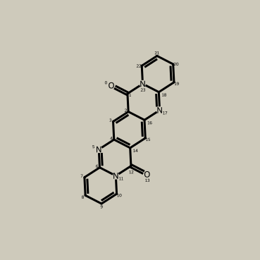 O=c1c2cc3nc4ccccn4c(=O)c3cc2nc2ccccn12